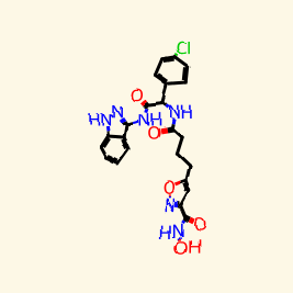 O=C(CCCc1cc(C(=O)NO)no1)NC(C(=O)Nc1n[nH]c2ccccc12)c1ccc(Cl)cc1